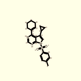 Cc1ccc(S(=O)(=O)n2cc(C3CC3)c3c(C4=CCCCC4)ncnc32)cc1